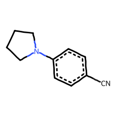 N#Cc1ccc(N2CCCC2)cc1